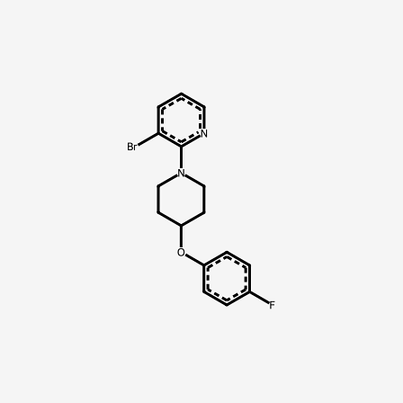 Fc1ccc(OC2CCN(c3ncccc3Br)CC2)cc1